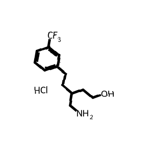 Cl.NCC(CCO)CCc1cccc(C(F)(F)F)c1